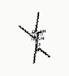 CCCCCCCCCCCCCC(=O)N/C(=C\OC(=O)CC(CCCCCCCCCCC)OC(=O)CCCCCCCCC)C(O)CCC(CC(=O)O)NC(=O)CCCCCCCCCCCCC